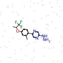 Cc1cc(OC(C)C(F)(F)F)ccc1-c1cnc(NN)cn1